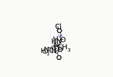 CC(CNC(=O)/C=C/c1ccc(Cl)cc1)N[C@@H](CCCN1CCCCC1)C(=O)N(C)CC(c1ccccc1)c1ccccc1